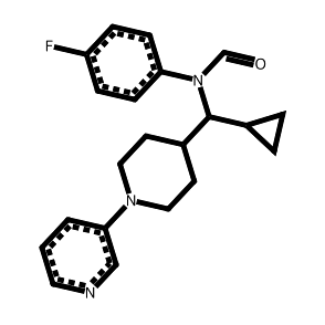 O=CN(c1ccc(F)cc1)C(C1CC1)C1CCN(c2cccnc2)CC1